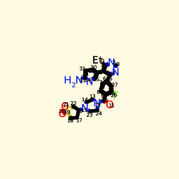 CCc1ncnc(-c2ccc(C(=O)N3CCN(C4CCS(=O)(=O)C4)CC3)c(F)c2)c1-c1ccc(N)nc1